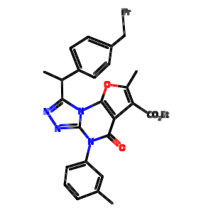 CCOC(=O)c1c(C)oc2c1c(=O)n(-c1cccc(C)c1)c1nnc(C(C)c3ccc(CC(C)C)cc3)n21